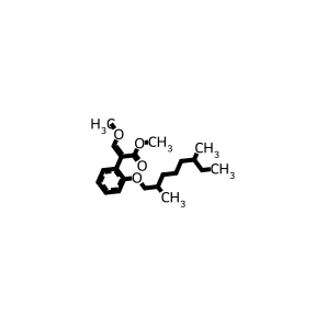 CCC(C)CCCC(C)COc1ccccc1/C(=C/OC)C(=O)OC